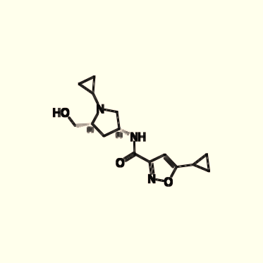 O=C(N[C@@H]1C[C@H](CO)N(C2CC2)C1)c1cc(C2CC2)on1